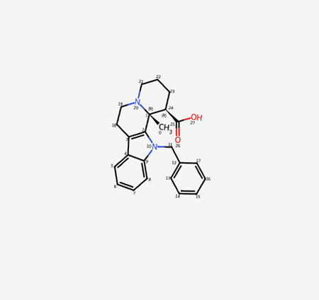 C[C@@]12c3c(c4ccccc4n3Cc3ccccc3)CCN1CCC[C@H]2C(=O)O